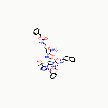 CC(C)(O)c1cnnn1[C@H]1C[C@@H](C(=O)NC(CCCCNC(=O)OCc2ccccc2)C(O)C(N)=O)N(C(=O)[C@@H](CNC(=O)OCc2ccccc2)NC(=O)c2ccc3ccccc3c2)C1